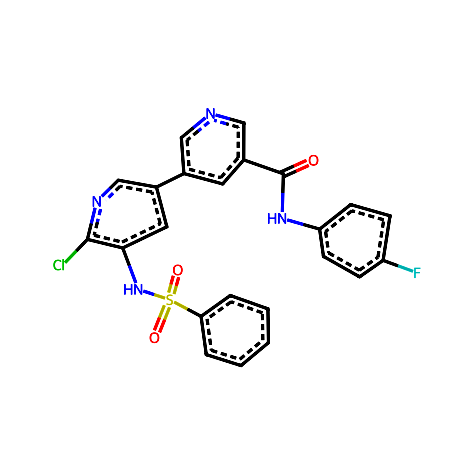 O=C(Nc1ccc(F)cc1)c1cncc(-c2cnc(Cl)c(NS(=O)(=O)c3ccccc3)c2)c1